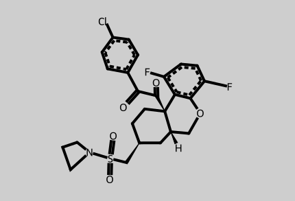 O=C(C(=O)[C@]12CC[C@H](CS(=O)(=O)N3CCC3)C[C@H]1COc1c(F)ccc(F)c12)c1ccc(Cl)cc1